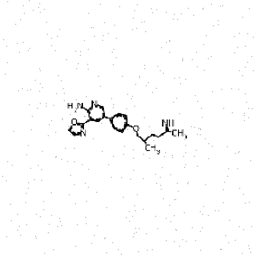 CC(=N)CCC(C)COc1ccc(-c2cnc(N)c(-c3ncco3)c2)cc1